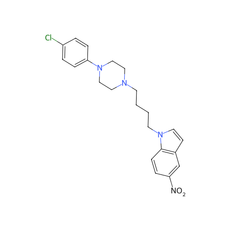 O=[N+]([O-])c1ccc2c(ccn2CCCCN2CCN(c3ccc(Cl)cc3)CC2)c1